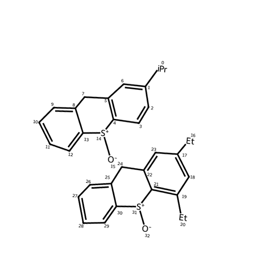 CC(C)c1ccc2c(c1)Cc1ccccc1[S+]2[O-].CCc1cc(CC)c2c(c1)Cc1ccccc1[S+]2[O-]